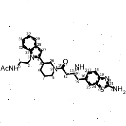 CC(=O)NCCn1c(C2CCCN(C(=O)C[C@H](N)Cc3ccc4nc(N)sc4c3)C2)cc2ccccc21